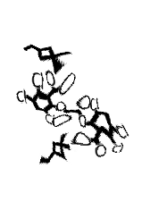 CCC1CC(C)(COC(=O)c2c(Cl)c(Cl)cc(Cl)c2OC(=O)C(=O)Oc2c(Cl)cc(Cl)c(Cl)c2C(=O)OCC2(C)CC(CC)C2)C1